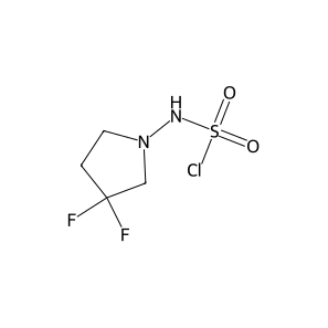 O=S(=O)(Cl)NN1CCC(F)(F)C1